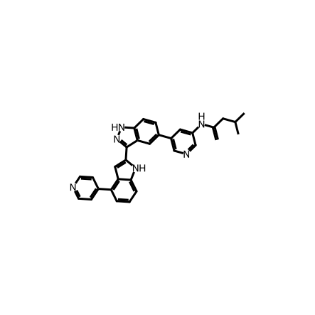 C=C(CC(C)C)Nc1cncc(-c2ccc3[nH]nc(-c4cc5c(-c6ccncc6)cccc5[nH]4)c3c2)c1